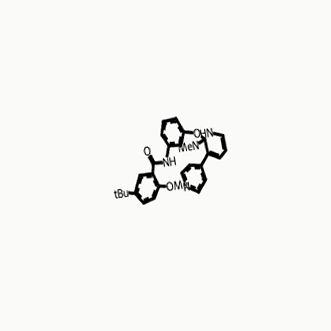 CNC1(Oc2cccc(NC(=O)c3cc(C(C)(C)C)ccc3OC)c2)NC=CC=C1c1ccncc1